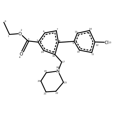 CCOC(=O)c1ccc(-c2ccc(Cl)cc2)c(CN2CCCCC2)c1